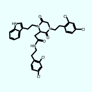 O=C(CC1C(=O)N(CCc2ccc(Cl)cc2Cl)CC(=O)N1CCc1c[nH]c2ccccc12)NCCc1ccc(Cl)cc1Cl